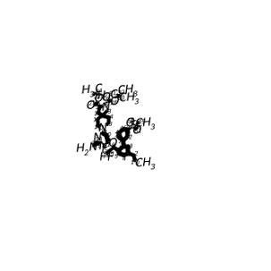 CCCc1ccc([C@@H](Oc2cc(N3CCC4(CC3)C[C@@H](C(=O)OCC)N(C(=O)OC(C)(C)C)C4)nc(N)n2)C(F)(F)F)c(-c2cccc(S(C)(=O)=O)c2)c1